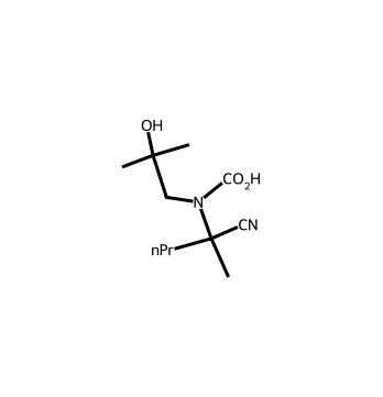 CCCC(C)(C#N)N(CC(C)(C)O)C(=O)O